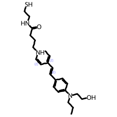 C/C=C(\C=C/NCCCC(=O)NCCS)/C=C/c1ccc(N(CCC)CCO)cc1